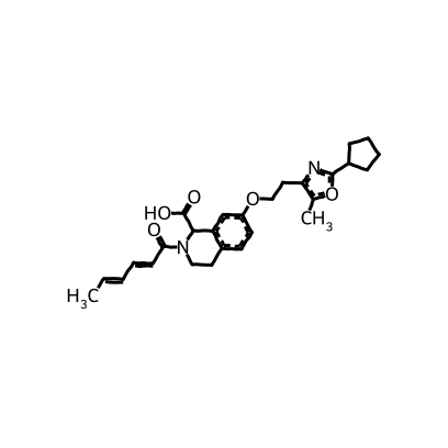 CC=CC=CC(=O)N1CCc2ccc(OCCc3nc(C4CCCC4)oc3C)cc2C1C(=O)O